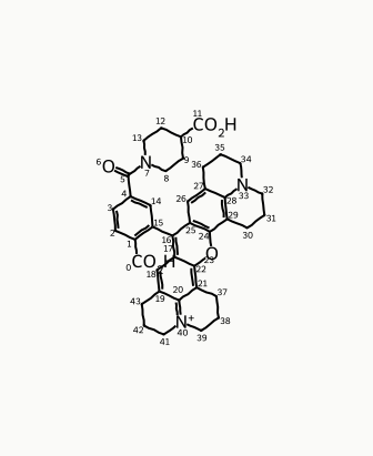 O=C(O)c1ccc(C(=O)N2CCC(C(=O)O)CC2)cc1C1=c2cc3c4c(c2Oc2c1cc1c5c2CCCN5CCC1)CCC[N+]=4CCC3